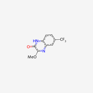 COc1nc2cc(C(F)(F)F)ccc2[nH]c1=O